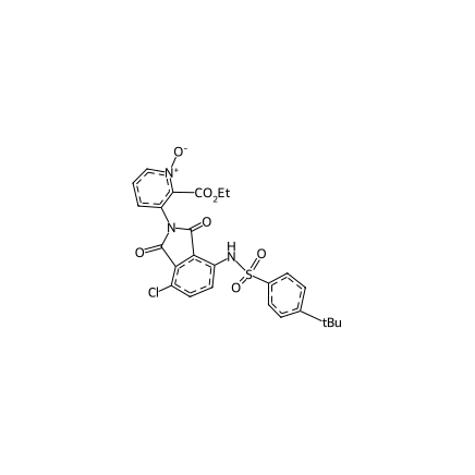 CCOC(=O)c1c(N2C(=O)c3c(Cl)ccc(NS(=O)(=O)c4ccc(C(C)(C)C)cc4)c3C2=O)ccc[n+]1[O-]